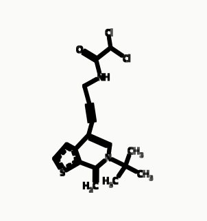 C=C1c2sccc2C(C#CCNC(=O)C(Cl)Cl)=CN1C(C)(C)C